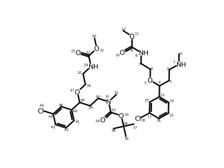 CNCCC(OCCNC(=O)OC)c1cccc(Cl)c1.COC(=O)NCCOC(CCN(C)C(=O)OC(C)(C)C)c1cccc(Cl)c1